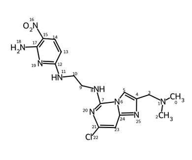 CN(C)Cc1cn2c(NCCNc3ccc([N+](=O)[O-])c(N)n3)nc(Cl)cc2n1